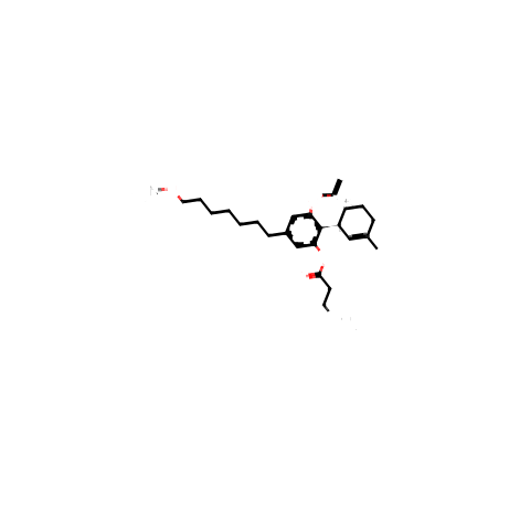 C=C(C)[C@@H]1CCC(C)=C[C@H]1c1c(O)cc(CCCCCCCO[N+](=O)[O-])cc1OC(=O)CCC(=O)O